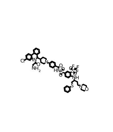 NCC(=O)N[C@@H](c1ccccc1-c1ccc(Cl)cc1)C1CCN(c2ccc(C(=O)NS(=O)(=O)c3ccc(NC(CCN4CCOCC4)CSc4ccccc4)c(S(=O)(=O)C(F)(F)F)c3)cc2)CC1